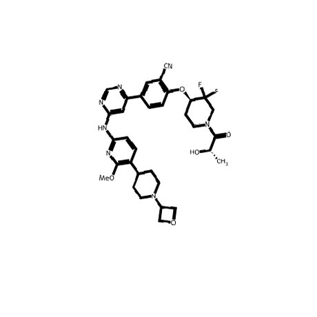 COc1nc(Nc2cc(-c3ccc(O[C@@H]4CCN(C(=O)[C@H](C)O)CC4(F)F)c(C#N)c3)ncn2)ccc1C1CCN(C2COC2)CC1